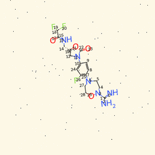 N=C(N)N1CCN(c2ccc(N3C[C@H](CNC(=O)C(F)F)OC3=O)cc2F)CCO1